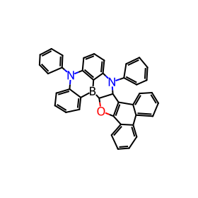 c1ccc(N2c3ccccc3B3c4c2cccc4N(c2ccccc2)C2c4c(c5ccccc5c5ccccc45)OC32)cc1